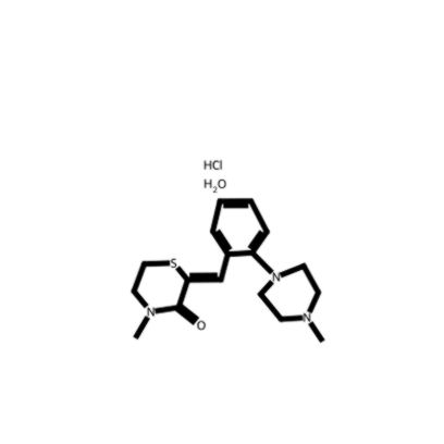 CN1CCN(c2ccccc2C=C2SCCN(C)C2=O)CC1.Cl.O